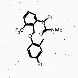 CCc1ccc(OCc2c(N(CC)C(=O)NC)cccc2C(F)(F)F)c(C)c1